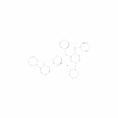 CC(C)(C)c1c2c(c(N(c3ccccc3)c3ccc(-c4cccc5c4sc4ccccc45)cc3)c3c1-c1ccccc1C3(C)C)C(C)(C)c1ccccc1-2